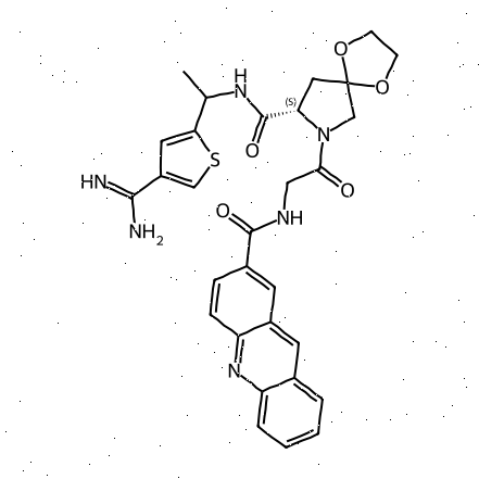 CC(NC(=O)[C@@H]1CC2(CN1C(=O)CNC(=O)c1ccc3nc4ccccc4cc3c1)OCCO2)c1cc(C(=N)N)cs1